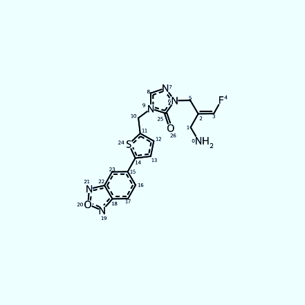 NC/C(=C/F)Cn1ncn(Cc2ccc(-c3ccc4nonc4c3)s2)c1=O